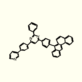 c1ccc(-c2nc(-c3ccc(-c4cccnc4)cc3)cc(-c3ccc(-c4c5ccccc5cc5c4ccc4ccccc45)cc3)n2)cc1